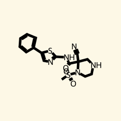 CS(=O)(=O)N1CCNCC1(C#N)C(=O)Nc1ncc(-c2ccccc2)s1